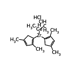 CC1=CC(C)=[C]([Zr]([C]2=C(C)C=C(C)C2)[GeH]([CH3])[CH3])C1.Cl.Cl